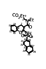 CCOC(=O)CN(CC)C(=O)C(Cc1ccccc1)C(=O)NS(=O)(=O)c1ccc2ccccc2c1